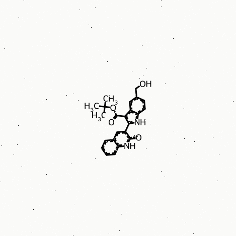 CC(C)(C)OC(=O)c1c(-c2cc3ccccc3[nH]c2=O)[nH]c2ccc(CO)cc12